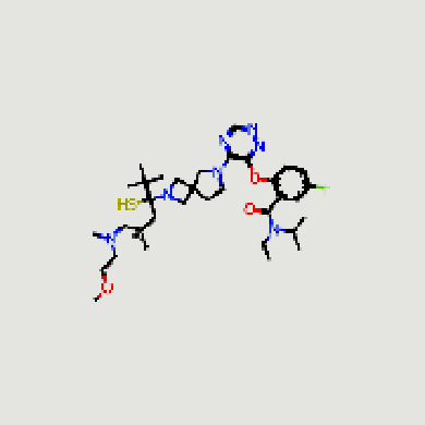 CCN(C(=O)c1cc(F)ccc1Oc1nncnc1N1CCC2(C1)CN(C(S)(C[C@@H](C)CN(C)CCOC)C(C)(C)C)C2)C(C)C